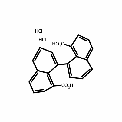 Cl.Cl.O=C(O)c1cccc2cccc(-c3cccc4cccc(C(=O)O)c34)c12